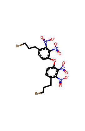 O=[N+]([O-])c1c(CCCBr)ccc(Oc2ccc(CCCBr)c([N+](=O)[O-])c2[N+](=O)[O-])c1[N+](=O)[O-]